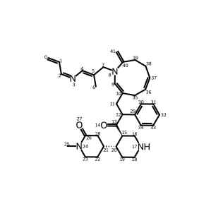 C=C/C=N\C=C(/C)CN1/C=C(/CC(C(=O)[C@H]2CNCC[C@@H]2C2CCN(C)C(=O)C2)c2ccccc2)C/C=C\CCC1=C